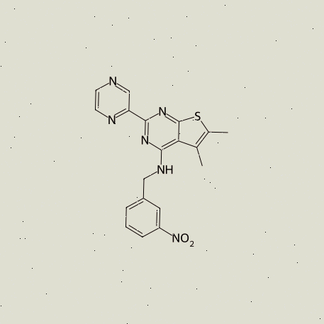 Cc1sc2nc(-c3cnccn3)nc(NCc3cccc([N+](=O)[O-])c3)c2c1C